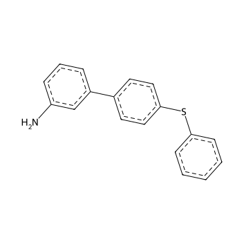 Nc1cccc(-c2ccc(Sc3ccccc3)cc2)c1